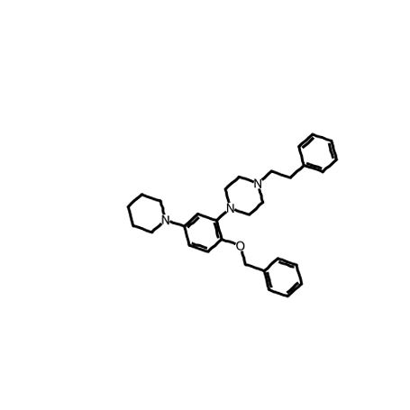 c1ccc(CCN2CCN(c3cc(N4CCCCC4)ccc3OCc3ccccc3)CC2)cc1